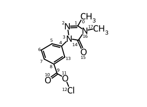 Cc1nn(-c2cccc(C(=O)OCl)c2)c(=O)n1C